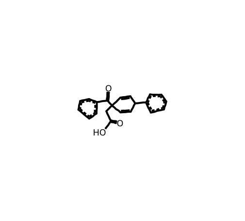 O=C(O)CC1(C(=O)c2ccccc2)C=CC(c2ccccc2)C=C1